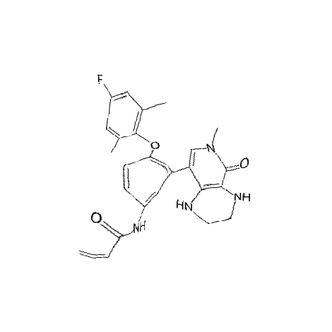 C=CC(=O)Nc1ccc(Oc2c(C)cc(F)cc2C)c(-c2cn(C)c(=O)c3c2NCCN3)c1